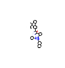 C=Cc1c(/C=C\C)c2cc(-c3cncc4c3oc3cccc(-c5nc(-c6ccccc6)nc(-c6ccc7ccccc7c6)n5)c34)ccc2c2ccccc12